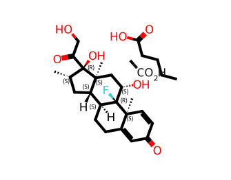 CC(=O)O.CCCCC(=O)O.C[C@H]1C[C@H]2[C@@H]3CCC4=CC(=O)C=C[C@]4(C)[C@@]3(F)[C@@H](O)C[C@]2(C)[C@@]1(O)C(=O)CO